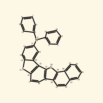 c1ccc(N(c2ccccc2)c2ccc3sc4ccc5c6ccc7ccccc7c6sc5c4c3c2)cc1